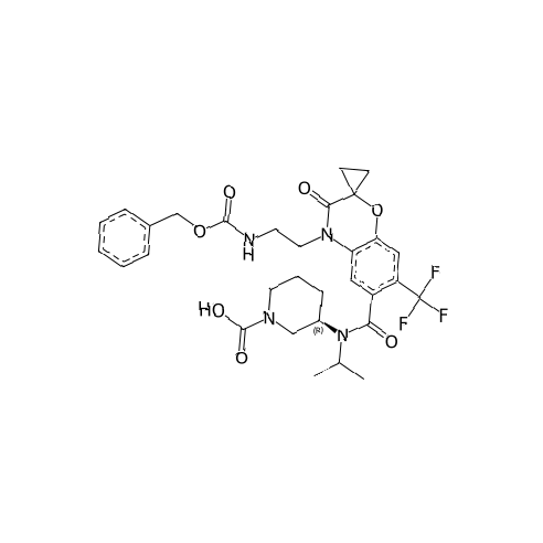 CC(C)N(C(=O)c1cc2c(cc1C(F)(F)F)OC1(CC1)C(=O)N2CCNC(=O)OCc1ccccc1)[C@@H]1CCCN(C(=O)O)C1